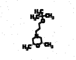 C[C@@H]1CN(CCCOC(C)(C)C)C[C@H](C)O1